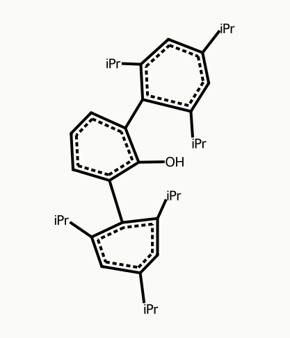 CC(C)c1cc(C(C)C)c(-c2cccc(-c3c(C(C)C)cc(C(C)C)cc3C(C)C)c2O)c(C(C)C)c1